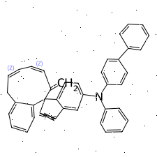 C=C1/C=C\C=C/Cc2ccccc2C12c1ccccc1-c1cc(N(c3ccccc3)c3ccc(-c4ccccc4)cc3)ccc12